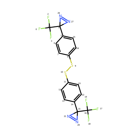 FC(F)(F)C1(c2ccc(SSc3ccc(C4(C(F)(F)F)N=N4)cc3)cc2)N=N1